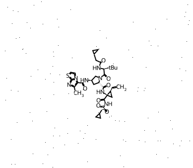 C=C[C@H]1C[C@]1(NC(=O)[C@@H]1C[C@@H](NC(=O)c2c(C)nc3sccn23)CN1C(=O)[C@@H](NC(=O)CC1CC1)C(C)(C)C)C(=O)NS(=O)(=O)C1CC1